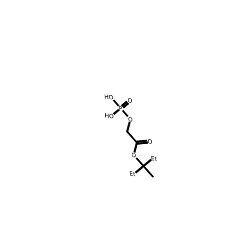 CCC(C)(CC)OC(=O)COP(=O)(O)O